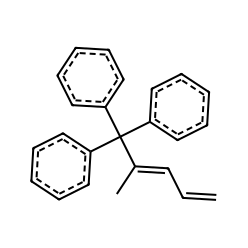 C=C/C=C(\C)C(c1ccccc1)(c1ccccc1)c1ccccc1